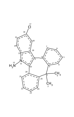 CC1(C)c2ccccc2-c2c(n(N)c3ccc(Cl)cc23)-c2ccccc21